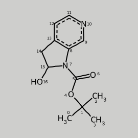 CC(C)(C)OC(=O)N1c2cnccc2CC1O